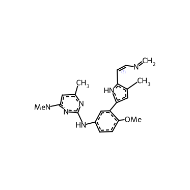 C=N/C=C\c1[nH]c(-c2cc(Nc3nc(C)cc(NC)n3)ccc2OC)cc1C